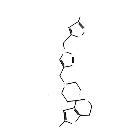 CCc1cc2c(s1)CCO[C@@]21CCN(Cc2cn(Cc3cc(C)n[nH]3)nn2)[C@@H](C)C1